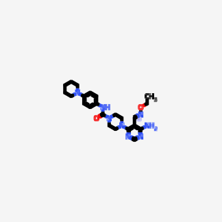 CCO/N=C/c1c(N)ncnc1N1CCN(C(=O)Nc2ccc(N3CCCCC3)cc2)CC1